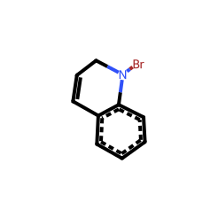 BrN1CC=Cc2ccccc21